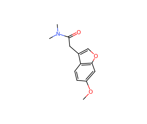 COc1ccc2c(CC(=O)N(C)C)coc2c1